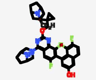 O=C(O)C1CC2CCC(C1)N2CC1(COc2nc(N3CC4CCC(C3)N4)c3cc(F)c(-c4cc(O)cc5ccc(F)c(F)c45)c(F)c3n2)CC1